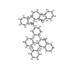 c1ccc2c(c1)nc(-c1ccc(-n3c4ccccc4c4ccc5c6ccccc6oc5c43)cc1)c1c3ccccc3c3ccccc3c21